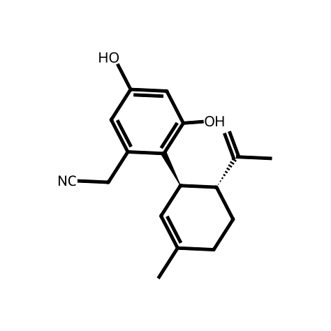 C=C(C)[C@@H]1CCC(C)=C[C@H]1c1c(O)cc(O)cc1CC#N